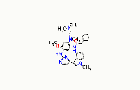 COc1cc(N(C)CCN(C)C)c(NC(=O)CC2CCCC2)cc1Nc1nccc(-c2cn(C)c3ccccc23)n1